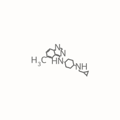 Cc1ccc2ncnc(N[C@H]3CC[C@H](NCC4CC4)CC3)c2c1